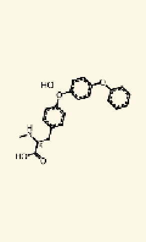 CN[C@@H](Cc1ccc(Oc2ccc(Oc3ccccc3)cc2)cc1)C(=O)O.Cl